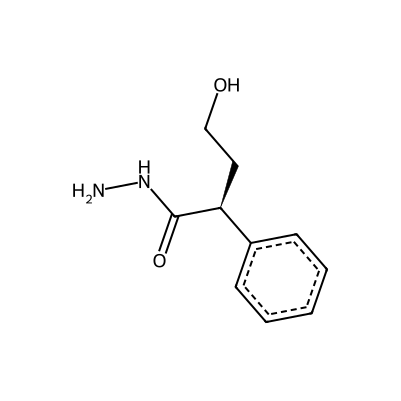 NNC(=O)[C@@H](CCO)c1ccccc1